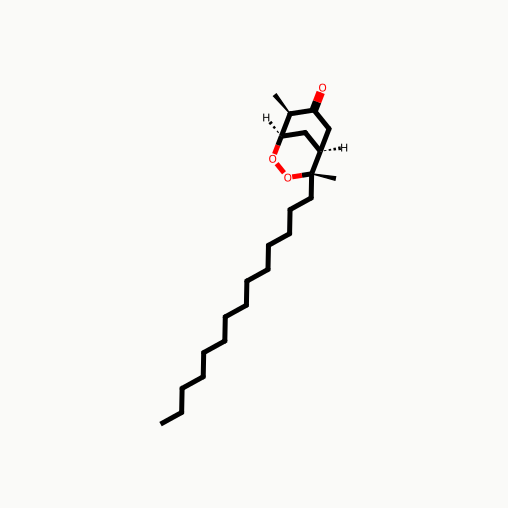 CCCCCCCCCCCCCC[C@]1(C)OO[C@@H]2C[C@H]1CC(=O)[C@@H]2C